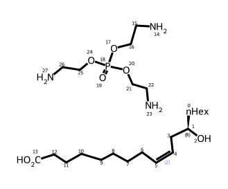 CCCCCC[C@@H](O)C/C=C\CCCCCCCC(=O)O.NCCOP(=O)(OCCN)OCCN